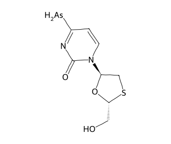 O=c1nc([AsH2])ccn1[C@H]1CS[C@H](CO)O1